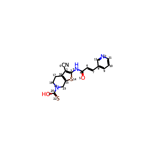 N#Cc1c(NC(=O)C=Cc2cccnc2)sc2c1CCN(C(O)=S)C2